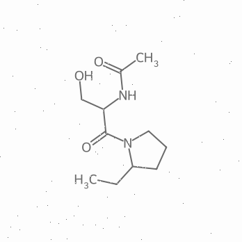 CCC1CCCN1C(=O)C(CO)NC(C)=O